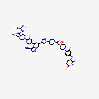 CCC1(C(=O)NC(C)C)CCN(c2ncc(-c3nc(-c4cnn(C5CCN(C(=O)CC6(O)CCN(c7ccc(NC8CCC(=O)NC8=O)cc7F)CC6)CC5)c4)cn4ncc(C#N)c34)cc2F)CC1